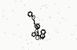 OC(COC1C[N+]2(CCCOc3ccccc3)CCC1CC2)(c1cccc2ccccc12)C1CCCC1